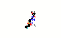 COc1cccc(C(=O)NCCNc2cccc(N[S+]([O-])c3cc(-c4ccccc4F)ccc3OC)c2)c1